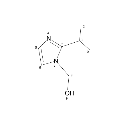 CC(C)c1nccn1CO